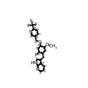 COc1cc(Cc2c[nH]c3ncccc23)c(F)cc1OCc1ccc(C(F)(F)F)nc1